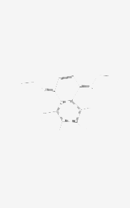 CON=C1C=CC(=NOC)c2c(Cl)c(Cl)c(Cl)c(Cl)c21